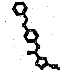 Cc1cc(C(=O)Oc2ccc(OCc3ccccc3)cc2)sn1